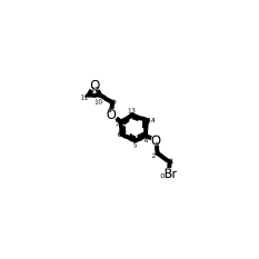 BrCCOc1ccc(OCC2CO2)cc1